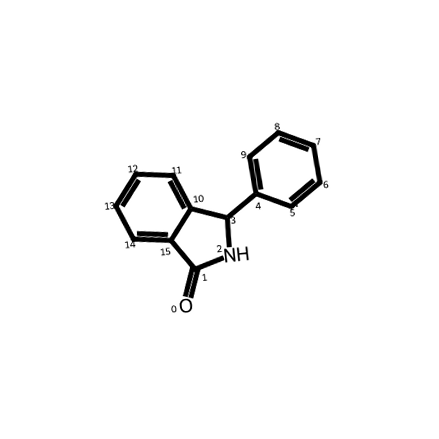 O=C1NC(c2[c]cccc2)c2ccccc21